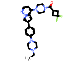 CCN1CCN(c2ccc(-c3cc4c(N5CCN(C(=O)C6CC(F)(F)C6)CC5)ccnn4c3)cc2)CC1